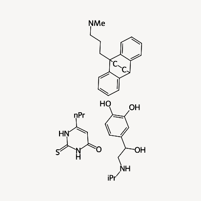 CC(C)NCC(O)c1ccc(O)c(O)c1.CCCc1cc(=O)[nH]c(=S)[nH]1.CNCCCC12CCC(c3ccccc31)c1ccccc12